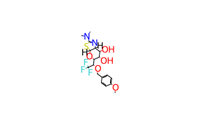 COc1ccc(CO[C@@H](C2O[C@@H]3SC(N(C)C)=N[C@@H]3[C@@H](O)[C@@H]2O)C(F)(F)F)cc1